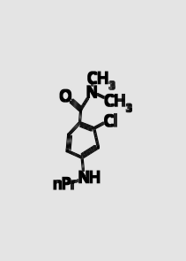 CCCNc1ccc(C(=O)N(C)C)c(Cl)c1